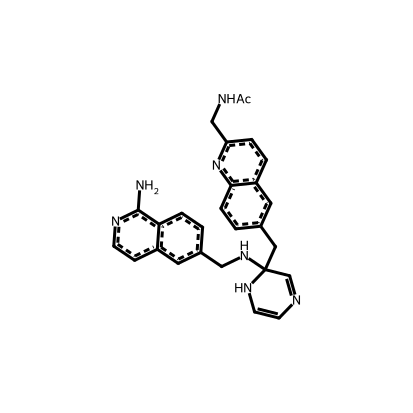 CC(=O)NCc1ccc2cc(CC3(NCc4ccc5c(N)nccc5c4)C=NC=CN3)ccc2n1